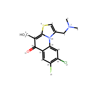 CN(C)Cc1csc2c(C(=O)O)c(=O)c3cc(F)c(Cl)cc3n12